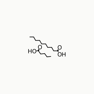 CCCCC(=O)O.CCCCCCCCCC(=O)O